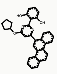 Oc1cccc(O)c1-c1nc(OC2CCCC2)cc(-c2cc3c4ccccc4ccc3c3ccccc23)n1